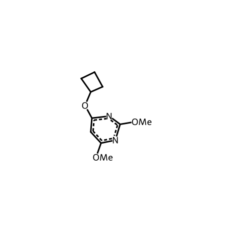 COc1cc(OC2CCC2)nc(OC)n1